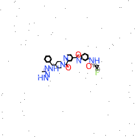 C/C(N=N)=N/NC(c1ccccc1)C1CCN(C(=O)c2cc(-c3nc4cc(NC(=O)[C@@H]5C[C@@H]5F)ccc4o3)ccn2)CC1